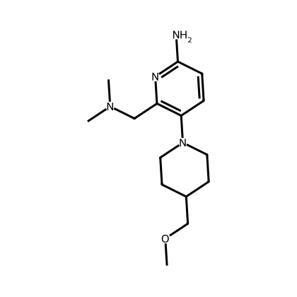 COCC1CCN(c2ccc(N)nc2CN(C)C)CC1